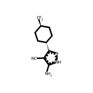 N#Cc1c(N)[nH]nc1[C@H]1CC[C@H](C(F)(F)F)CC1